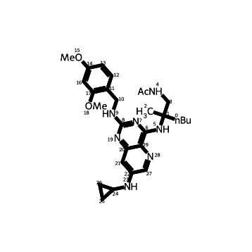 CCCCC(C)(CNC(C)=O)Nc1nc(NCc2ccc(OC)cc2OC)nc2cc(NC3CC3)cnc12